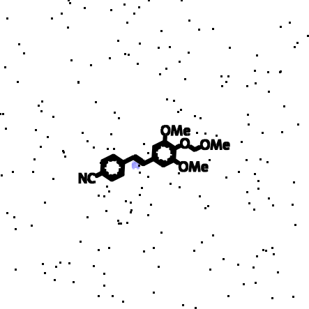 COCOc1c(OC)cc(/C=C/c2ccc(C#N)cc2)cc1OC